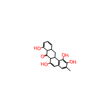 Cc1cc2c(c(O)c1O)C1CC3C=CC=C(O)C3C(=O)C1C(O)=C2